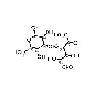 O=C(O)[C@@H]1O[C@@H](O)[C@@H](O)[C@@H](O)[C@@H]1O.O=C[C@H](O)[C@H](O)[C@@H](O)[C@H](O)C(=O)O